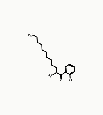 CCCCCCCCCCC(C)C(=O)c1ccccc1O